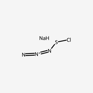 [N-]=[N+]=NSCl.[NaH]